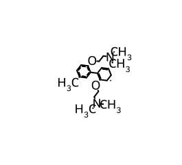 Cc1ccc(OCCN(C)C)c(C2=C(OCCN(C)C)[CH]CC=C2)c1